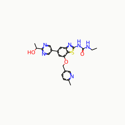 CCNC(=O)Nc1nc2cc(-c3cnc(C(C)O)nc3)cc(OCc3ccc(C)nc3)c2s1